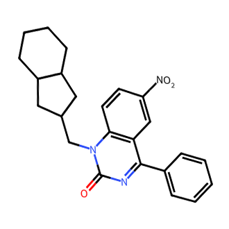 O=c1nc(-c2ccccc2)c2cc([N+](=O)[O-])ccc2n1CC1CC2CCCCC2C1